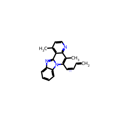 C=C/C=C\c1c(C)c2nccc(C)c2c2nc3ccccc3n12